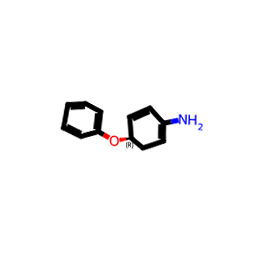 NC1=CC[C@@H](Oc2ccccc2)C=C1